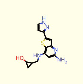 Nc1cc(NCC2CC2O)c2sc(-c3cc[nH]n3)cc2n1